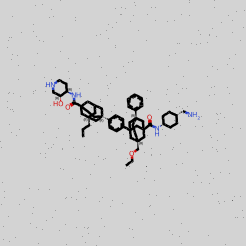 CCC[C@]12CC3CC(C(=O)N[C@@H]4CCNC[C@H]4O)(C1)C[C@@](c1ccc(C45CC6(C(=O)N[C@H]7CC[C@@H](CN)CC7)C[C@](COCC)(C4)C[C@@](c4ccccc4)(C6)C5)cc1)(C3)C2